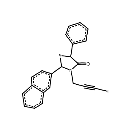 O=C1C(c2ccccc2)SC(c2ccc3ccccc3c2)N1CC#CI